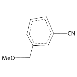 COCc1cccc(C#N)c1